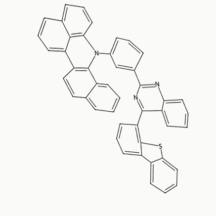 c1cc(-c2nc(-c3cccc4c3sc3ccccc34)c3ccccc3n2)cc(N2c3c(ccc4ccccc34)-c3cccc4cccc2c34)c1